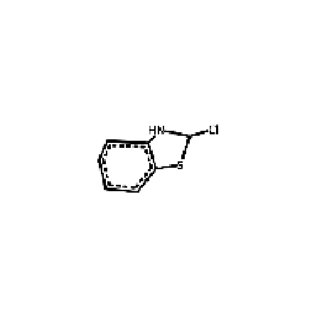 ClC1Nc2ccccc2S1